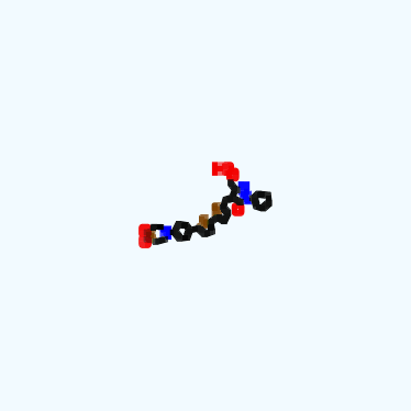 O=C1/C(=C\c2ccc(-c3ccc(-c4ccc(N5CCS(=O)(=O)CC5)cc4)s3)s2)C(COO)=NN1c1ccccc1